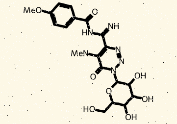 CNc1c(C(=N)NC(=O)c2ccc(OC)cc2)nnn(C2OC(CO)C(O)C(O)C2O)c1=O